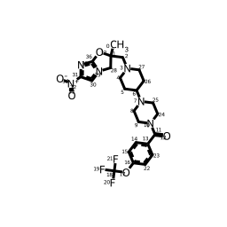 CC1(CN2CCC(N3CCN(C(=O)c4ccc(OC(F)(F)F)cc4)CC3)CC2)Cn2cc([N+](=O)[O-])nc2O1